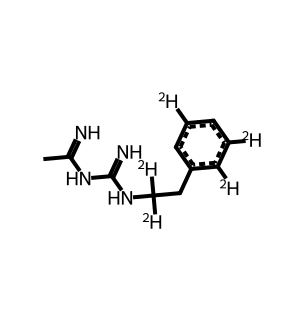 [2H]c1cc([2H])c([2H])c(CC([2H])([2H])NC(=N)NC(C)=N)c1